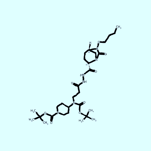 CCCCON1C(=O)N2C[C@@H]1CC[C@H]2C(=O)NNC(=O)CCN(C(=O)OC(C)(C)C)C1CCN(C(=O)OC(C)(C)C)CC1